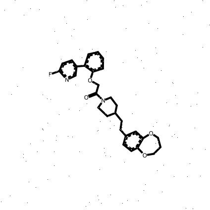 O=C(COc1ccccc1-c1ccc(F)nc1)N1CCC(CCc2ccc3c(c2)OCCCO3)CC1